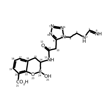 N=CNCCn1nnnc1CC(=O)NC1Cc2cccc(C(=O)O)c2OB1O